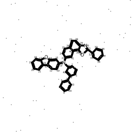 c1ccc(-c2cccc(N(c3ccc4c(c3)oc3ccccc34)c3ccc4ccc5nc(-c6ccccc6)oc5c4c3)c2)cc1